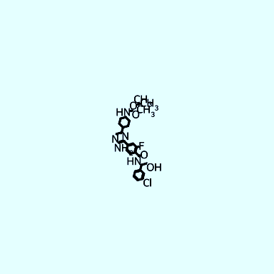 CC(C)(C)OC(=O)NC1CCC(c2cnc(N)c(-c3ccc(C(=O)NC(CO)c4cccc(Cl)c4)c(F)c3)n2)CC1